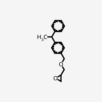 CC(c1ccccc1)c1ccc(COCC2CO2)cc1